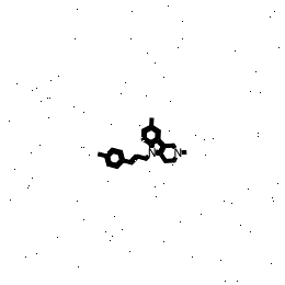 Cc1ccc(/C=C/Cn2c3c(c4cc(C)ccc42)CN(C)CC3)cc1